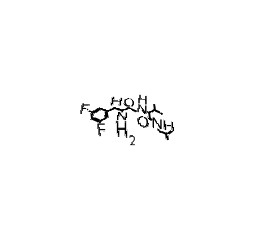 CC(C)CNC(=O)[C@@H](NC[C@@H](O)[C@@H](N)Cc1cc(F)cc(F)c1)C(C)C